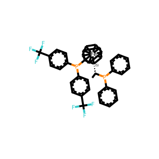 CC(P(c1ccccc1)c1ccccc1)[C@]12[CH]3[CH]4[CH]5[C]1(P(c1ccc(C(F)(F)F)cc1)c1ccc(C(F)(F)F)cc1)[Fe]45321678[CH]2[CH]1[CH]6[CH]7[CH]28